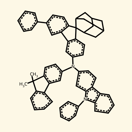 CC1(C)c2ccccc2-c2cc(N(c3ccc4c(c3)-c3cc(-c5ccccc5)ccc3C43C4CC5CC(C4)CC3C5)c3ccc4c5ccccc5n(-c5ccccc5)c4c3)ccc21